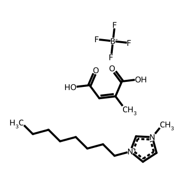 C/C(=C/C(=O)O)C(=O)O.CCCCCCCC[n+]1ccn(C)c1.F[B-](F)(F)F